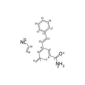 C=C(C)C=C(C=CC(N)=O)C=Cc1ccccc1.C=CC#N